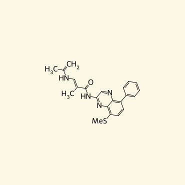 C=C(C)N/C=C(\C)C(=O)Nc1cnc2c(-c3ccccc3)ccc(SC)c2n1